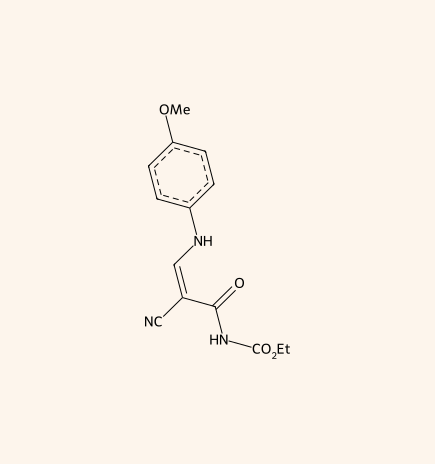 CCOC(=O)NC(=O)C(C#N)=CNc1ccc(OC)cc1